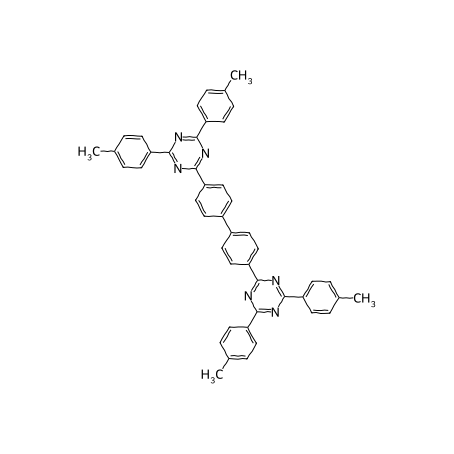 Cc1ccc(-c2nc(-c3ccc(C)cc3)nc(-c3ccc(-c4ccc(-c5nc(-c6ccc(C)cc6)nc(-c6ccc(C)cc6)n5)cc4)cc3)n2)cc1